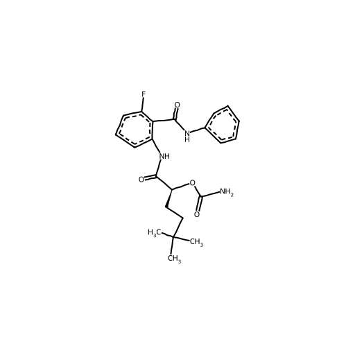 CC(C)(C)CC[C@H](OC(N)=O)C(=O)Nc1cccc(F)c1C(=O)Nc1ccccc1